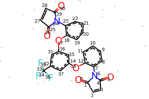 O=C1C=CC(=O)N1c1ccccc1Oc1cc(Oc2ccccc2N2C(=O)C=CC2=O)cc(C(F)(F)F)c1